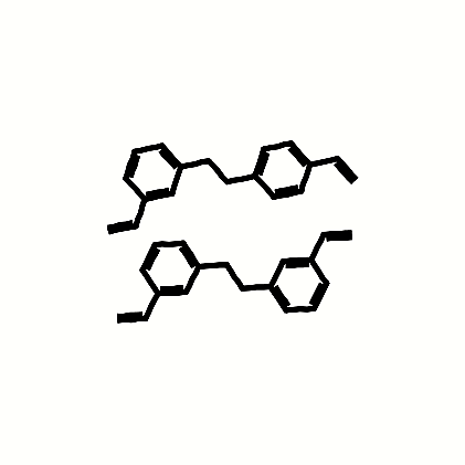 C=Cc1ccc(CCc2cccc(C=C)c2)cc1.C=Cc1cccc(CCc2cccc(C=C)c2)c1